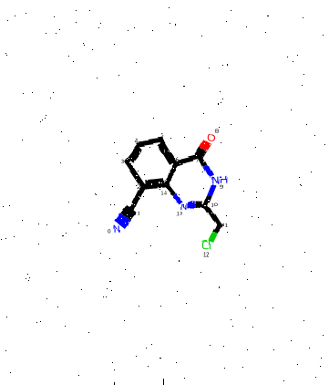 N#Cc1cccc2c(=O)[nH]c(CCl)nc12